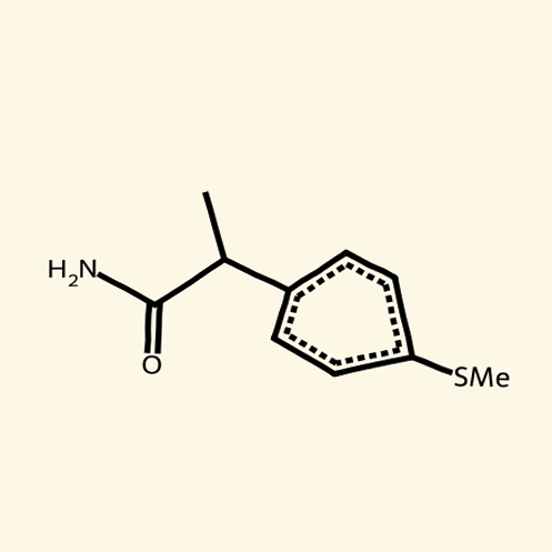 CSc1ccc(C(C)C(N)=O)cc1